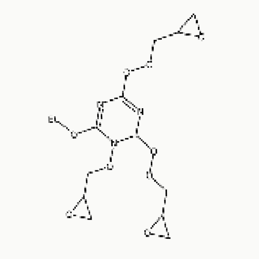 CCOC1=NC(OOCC2CO2)=NC(OOCC2CO2)N1OCC1CO1